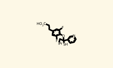 CC(C)CC(S)(Oc1c(F)cc(CCC(=O)O)cc1F)c1cccnc1